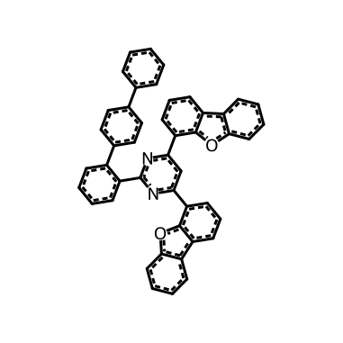 c1ccc(-c2ccc(-c3ccccc3-c3nc(-c4cccc5c4oc4ccccc45)cc(-c4cccc5c4oc4ccccc45)n3)cc2)cc1